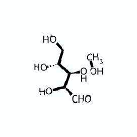 CO.O=C[C@@H](O)[C@H](O)[C@H](O)CO